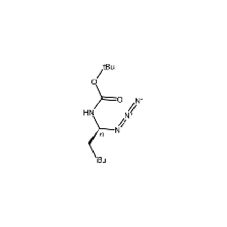 CCC(C)C[C@H](N=[N+]=[N-])NC(=O)OC(C)(C)C